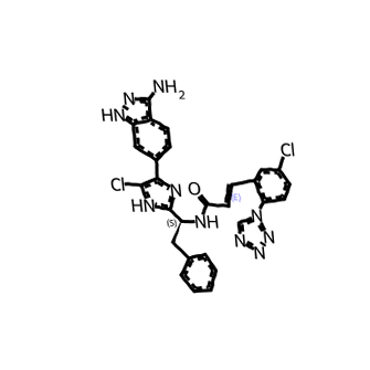 Nc1n[nH]c2cc(-c3nc([C@H](Cc4ccccc4)NC(=O)/C=C/c4cc(Cl)ccc4-n4cnnn4)[nH]c3Cl)ccc12